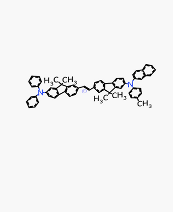 Cc1ccc(N(c2ccc3c(c2)C(C)(C)c2cc(/C=C/c4ccc5c(c4)C(C)(C)c4cc(N(c6ccccc6)c6ccccc6)ccc4-5)ccc2-3)c2ccc3ccccc3c2)cc1